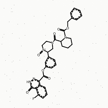 O=C(Oc1cccc(C2CN(C(=O)C3CCCCN3C(=O)OCc3ccccc3)CC[N+]2=O)c1)c1n[nH]c(=O)c2c(F)cccc12